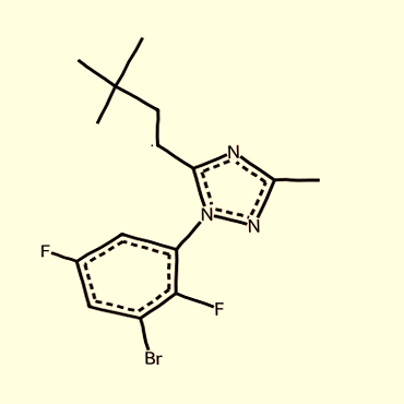 Cc1nc([CH]CC(C)(C)C)n(-c2cc(F)cc(Br)c2F)n1